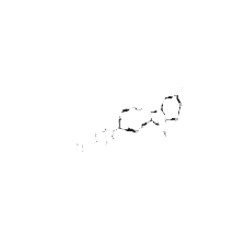 Cc1ccc2nc3cc(N4CC([18F])C4)ccn3c2c1